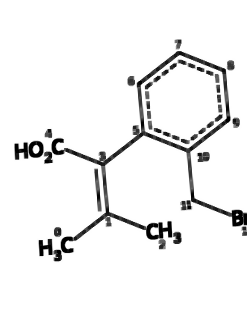 CC(C)=C(C(=O)O)c1ccccc1CBr